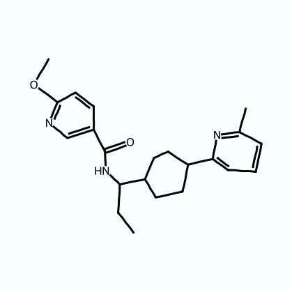 CCC(NC(=O)c1ccc(OC)nc1)C1CCC(c2cccc(C)n2)CC1